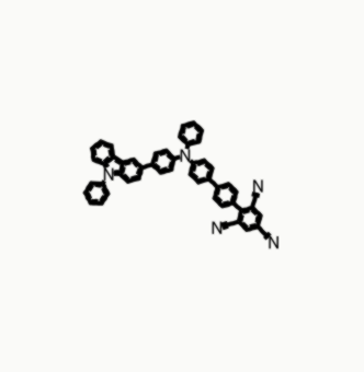 N#Cc1cc(C#N)c(-c2ccc(-c3ccc(N(c4ccccc4)c4ccc(-c5ccc6c(c5)c5ccccc5n6-c5ccccc5)cc4)cc3)cc2)c(C#N)c1